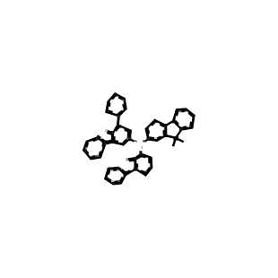 CC1(C)c2ccccc2-c2ccc(N(c3cc(-c4ccccc4)c4oc5ccccc5c4c3)c3cccc4c3oc3ccccc34)cc21